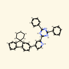 c1ccc(-c2nc(-c3ccccc3)nc(-c3cc(-c4ccc5c(c4)C4(CCCCC4)c4ccccc4-5)ccn3)n2)cc1